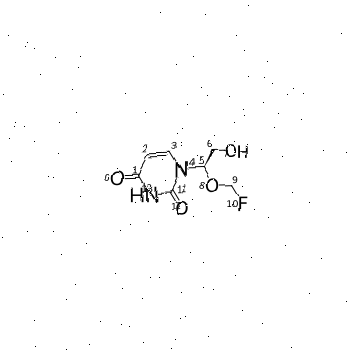 O=c1ccn([C@@H](CO)OCF)c(=O)[nH]1